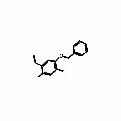 CCc1cc(OCc2ccccc2)c(I)cc1F